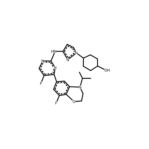 CC(C)N1CCOc2c(F)cc(-c3nc(Nc4ccn(C5CCC(O)CC5)n4)ncc3F)cc21